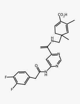 C=C(NCC1(C)C=C(C)C(C(=O)O)=CC1)c1cc(NC(=O)Cc2ccc(F)c(F)c2)ncn1